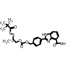 C[C@@H](COC(=O)OCc1ccc(-c2nc3c(C(N)=O)cccc3[nH]2)cc1)SSC(=O)C(C)(C)C